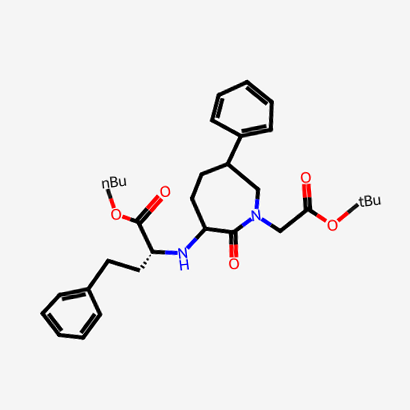 CCCCOC(=O)[C@@H](CCc1ccccc1)NC1CCC(c2ccccc2)CN(CC(=O)OC(C)(C)C)C1=O